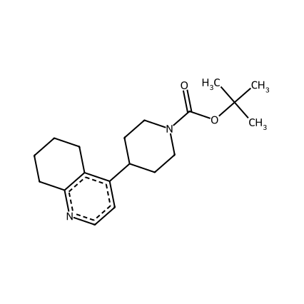 CC(C)(C)OC(=O)N1CCC(c2ccnc3c2CCCC3)CC1